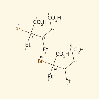 CCC(CC(=O)O)C(Br)(CC)C(=O)O.CCC(CC(=O)O)C(Br)(CC)C(=O)O